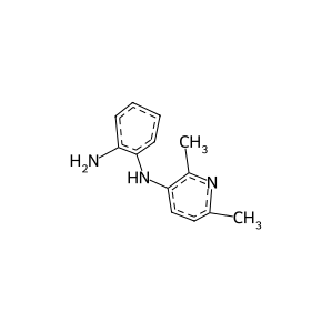 Cc1ccc(Nc2ccccc2N)c(C)n1